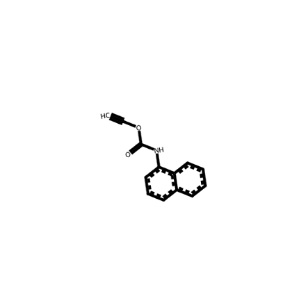 C#COC(=O)Nc1cccc2ccccc12